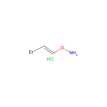 CCC=CON.Cl